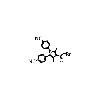 Cc1c(C(=O)CBr)c(C)n(-c2ccc(C#N)cc2)c1-c1ccc(C#N)cc1